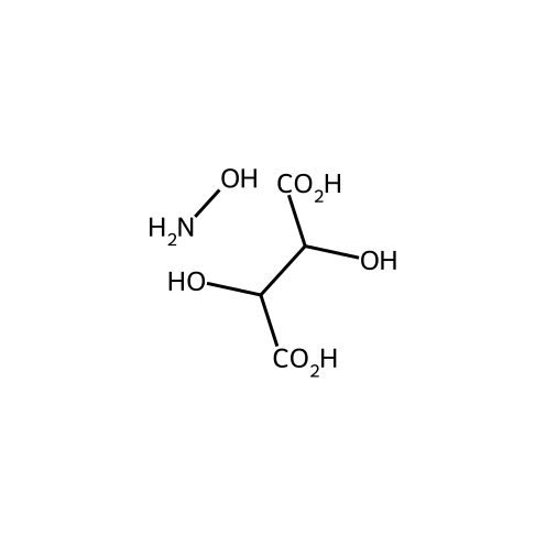 NO.O=C(O)C(O)C(O)C(=O)O